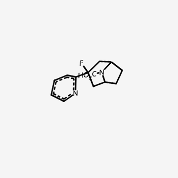 O=C(O)N1C2CCC1CC(F)(c1ccccn1)C2